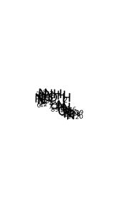 Cc1cc(C(=O)c2cccc(NC(=O)Nc3cc(C4CC4)nn3C)c2)c2c(N)ncnn12